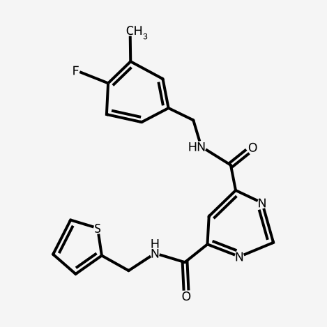 Cc1cc(CNC(=O)c2cc(C(=O)NCc3cccs3)ncn2)ccc1F